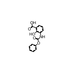 O=C(Nc1cccc(C(=O)O)c1O)Oc1ccccc1